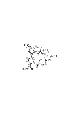 C=CCN1CCC(Nc2cc(-n3nc(C(F)(F)F)c4c3CC(C)(C)CC4)ccc2C(N)=O)CC1